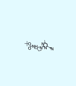 Cc1cc(C#N)nc(N2CCC(CNC(=O)OC(C)(C)C)C2)n1